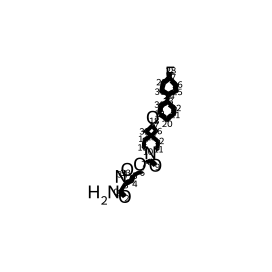 NC(=O)c1cc(COC(=O)N2CCC3(CC2)CC(Oc2cccc(-c4ccc(F)cc4)c2)C3)on1